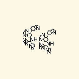 Cn1ccc(C(Nc2cc(-c3ccc4ccn(C)c4c3)c3nccnc3c2)c2cnnn2C)n1.Cn1ccc(C(Nc2cc(-c3ccc4ccn(C)c4c3)c3nccnc3c2)c2cnnn2C)n1